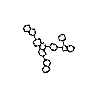 c1ccc(-n2c(-c3ccc(-c4nc5cc(-c6ccc7ccccc7c6)ccc5c5ccc(-c6ccc7ccccc7c6)cc45)cc3)nc3ccccc32)cc1